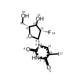 O=c1[nH]c(=O)n([C@@H]2O[C@H](CO)C(O)[C@@H]2F)cc1I